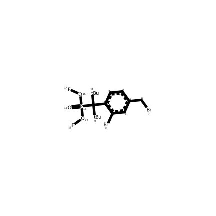 CC(C)(C)C(c1ccc(CBr)cc1Br)(C(C)(C)C)P(=O)(OF)OF